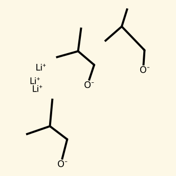 CC(C)C[O-].CC(C)C[O-].CC(C)C[O-].[Li+].[Li+].[Li+]